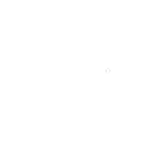 C=Cc1c(C)oc2cc(-c3ccccc3)ccc12